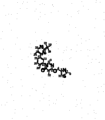 Cc1nc(COc2nc(C)n(-c3cc(-c4nc(C(C)(C)C)ncc4C)ccc3C)c(=O)c2C)cs1